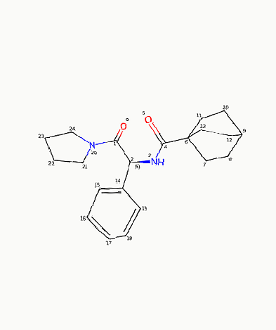 O=C([C@@H](NC(=O)C12CCC(CC1)CC2)c1ccccc1)N1CCCC1